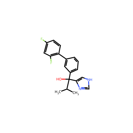 CC(C)C(O)(c1cccc(-c2ccc(F)cc2F)c1)c1c[nH]cn1